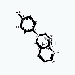 Fc1ccc(N2C=C3C=CC=NC34NNCN4C2)cc1